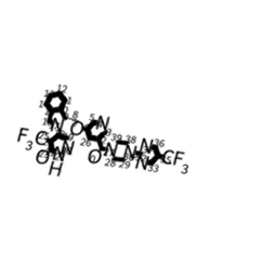 O=C(c1cncc(OC[C@H]2c3ccccc3CN2c2cn[nH]c(=O)c2C(F)(F)F)c1)N1CCN(c2ncc(C(F)(F)F)cn2)CC1